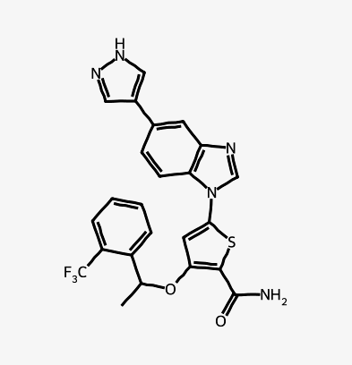 CC(Oc1cc(-n2cnc3cc(-c4cn[nH]c4)ccc32)sc1C(N)=O)c1ccccc1C(F)(F)F